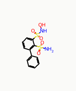 NS(=O)(=O)c1c(-c2ccccc2)cccc1S(=O)(=O)NO